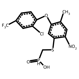 Cc1cc([N+](=O)[O-])c(SC[PH](=O)O)cc1Oc1ccc(C(F)(F)F)cc1Cl